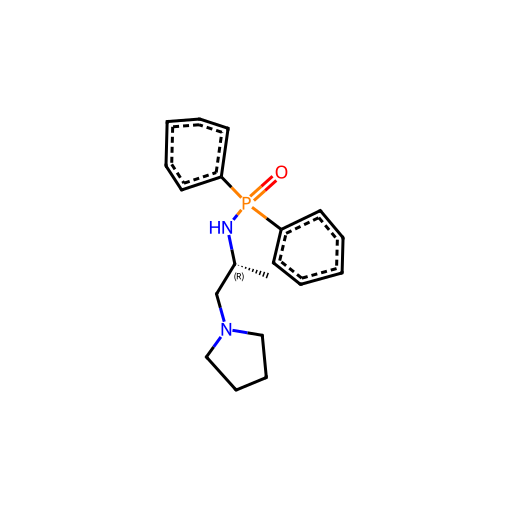 C[C@H](CN1CCCC1)NP(=O)(c1ccccc1)c1ccccc1